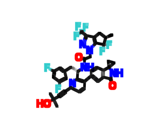 C[C@@H]1Cc2c(C(F)(F)F)nn(CC(=O)N[C@@H](Cc3cc(F)cc(F)c3)c3nc(C#CC(C)(C)O)ccc3-c3ccc4c(c3)C(=O)NC43CC3)c2C1(F)F